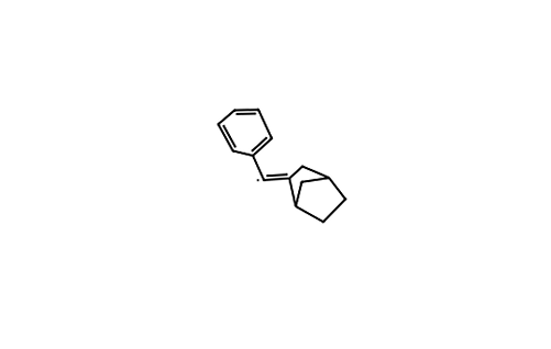 [C](=C1CC2CCC1C2)c1ccccc1